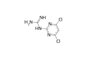 N=C(N)Nc1nc(Cl)cc(Cl)n1